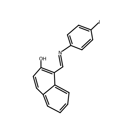 Oc1ccc2ccccc2c1C=Nc1ccc(I)cc1